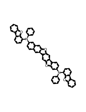 c1ccc(N(c2ccc3cc4c(cc3c2)oc2cc3c(cc24)oc2cc(N(c4ccccc4)c4cccc5c4oc4ccccc45)ccc23)c2cccc3c2oc2ccccc23)cc1